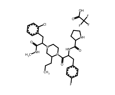 CCCC1CN(C(Cc2ccccc2Cl)C(=O)NC)CCN1C(=O)C(Cc1ccc(F)cc1)NC(=O)C1CCCN1.O=C(O)C(F)(F)F